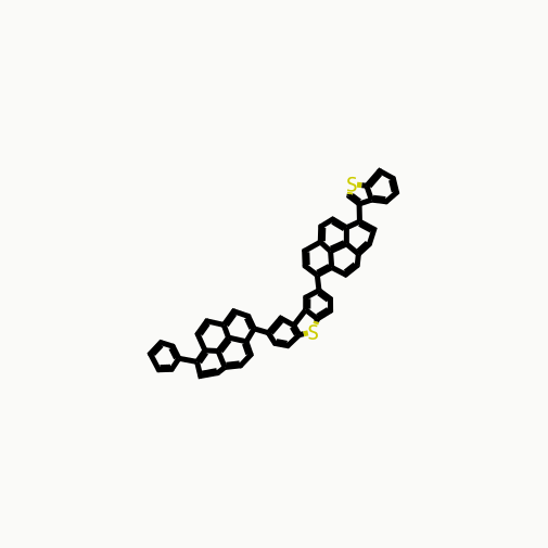 c1ccc(-c2ccc3ccc4c(-c5ccc6sc7ccc(-c8ccc9ccc%10c(-c%11csc%12ccccc%11%12)ccc%11ccc8c9c%11%10)cc7c6c5)ccc5ccc2c3c54)cc1